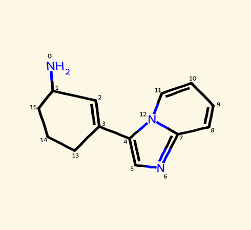 NC1C=C(c2cnc3ccccn23)CCC1